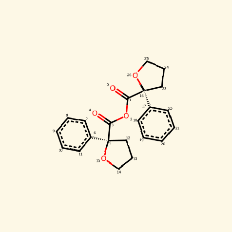 O=C(OC(=O)[C@@]1(c2ccccc2)CCCO1)[C@]1(c2ccccc2)CCCO1